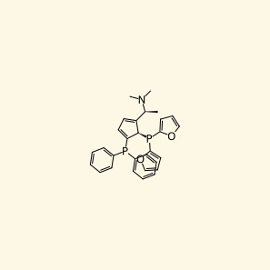 C[C@@H](C1=CC=C(P(c2ccccc2)c2ccccc2)[C@@H]1P(c1ccco1)c1ccco1)N(C)C